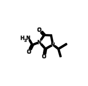 CC(C)N1CC(=O)N(C(N)=O)C1=O